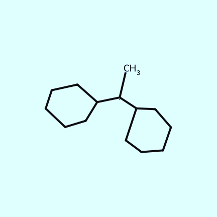 C[C](C1CCCCC1)C1CCCCC1